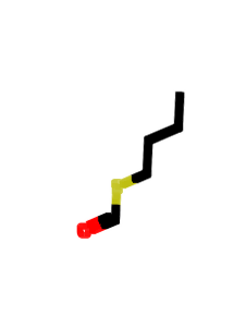 CCCCSC=O